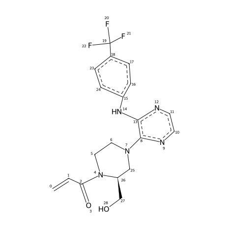 C=CC(=O)N1CCN(c2nccnc2Nc2ccc(C(F)(F)F)cc2)C[C@H]1CO